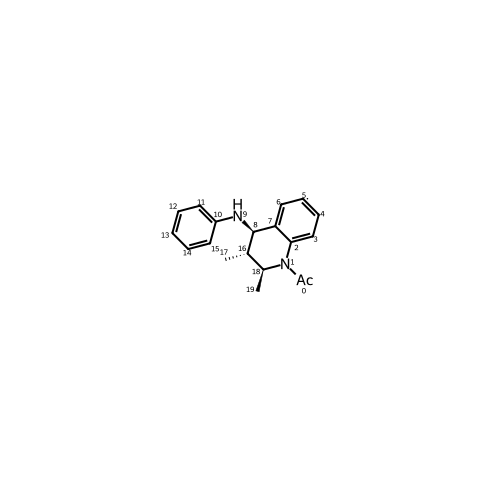 CC(=O)N1c2cc[c]cc2[C@H](Nc2ccccc2)[C@@H](C)[C@@H]1C